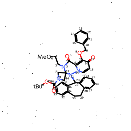 COCCN1C(=O)c2c(OCc3ccccc3)c(=O)ccn2N(C2c3ccccc3CCc3ccccc32)C12CN(C(=O)OC(C)(C)C)C2